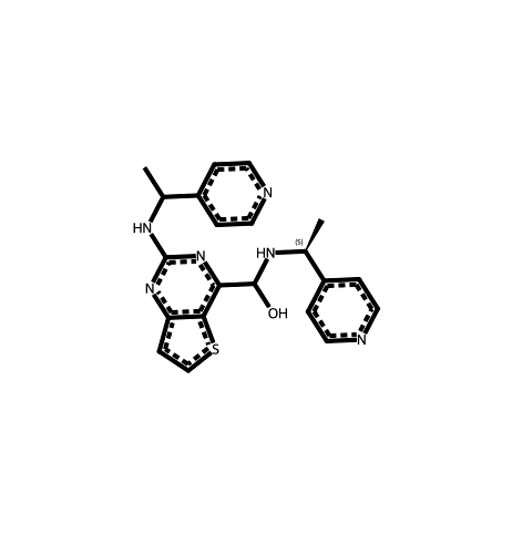 CC(Nc1nc(C(O)N[C@@H](C)c2ccncc2)c2sccc2n1)c1ccncc1